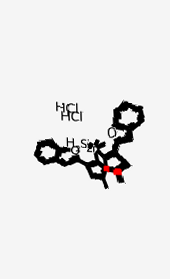 CC1=CC(c2cc3ccccc3o2)=[C]([Zr]([CH3])([CH3])(=[SiH2])[C]2=C(c3cc4ccccc4o3)C=C(C)C2C)C1C.Cl.Cl